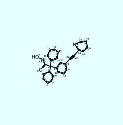 O=C(NO)C(c1ccccc1)(c1ccccc1)c1cccc(C#Cc2ccccn2)c1